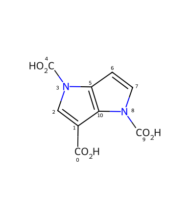 O=C(O)c1cn(C(=O)O)c2ccn(C(=O)O)c12